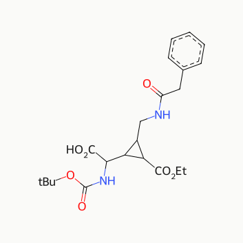 CCOC(=O)C1C(CNC(=O)Cc2ccccc2)C1C(NC(=O)OC(C)(C)C)C(=O)O